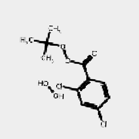 CC(C)(C)OOC(=O)c1ccc(Cl)cc1Cl.OO